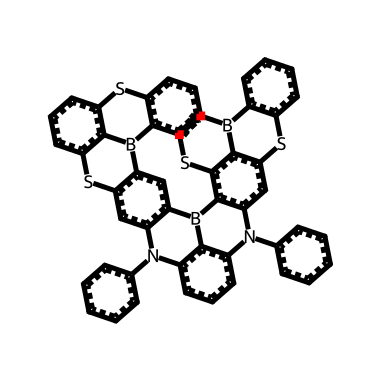 c1ccc(N2c3cc4c(cc3B3c5c2cccc5N(c2ccccc2)c2cc5c6c(c23)Sc2ccccc2B6c2ccccc2S5)B2c3ccccc3Sc3cccc(c32)S4)cc1